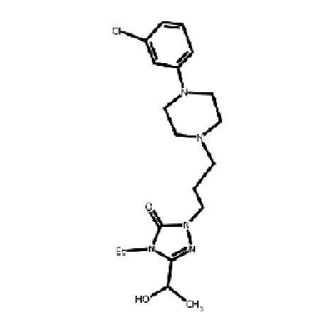 CCn1c(C(C)O)nn(CCCN2CCN(c3cccc(Cl)c3)CC2)c1=O